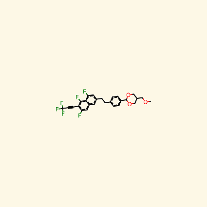 COCC1COC(c2ccc(CCc3cc(F)c4c(F)c(C#CC(F)(F)F)c(F)cc4c3)cc2)OC1